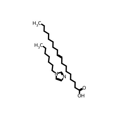 CCCCCCCCC=CCCCCCCCC(=O)O.CCCCCCCn1ccnc1